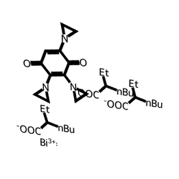 CCCCC(CC)C(=O)[O-].CCCCC(CC)C(=O)[O-].CCCCC(CC)C(=O)[O-].O=C1C=C(N2CC2)C(=O)C(N2CC2)=C1N1CC1.[Bi+3]